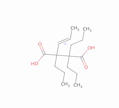 C/C=C/C(CCC)(C(=O)O)C(CCC)(CCC)C(=O)O